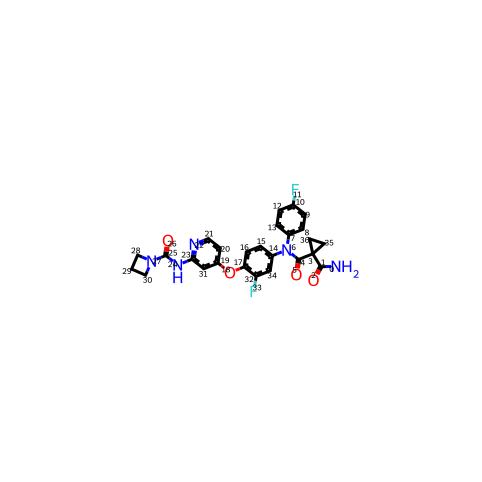 NC(=O)C1(C(=O)N(c2ccc(F)cc2)c2ccc(Oc3ccnc(NC(=O)N4CCC4)c3)c(F)c2)CC1